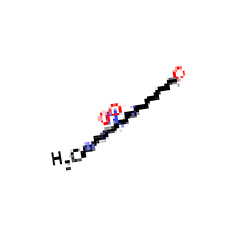 CC/C=C/C/C=C/C/C(=C/C/C=C/CCCCCC[C]=O)[N+](=O)[O-]